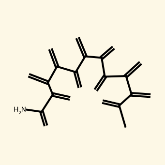 C=C(C)C(=C)C(=C)C(=C)C(=C)C(=C)C(=C)C(=C)C(=C)C(=C)C(=C)N